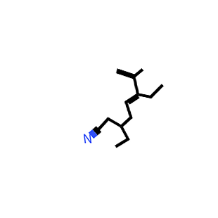 C=C(C)/C(=C/CC(CC)CC#N)CC